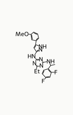 CCc1nc(Nc2cc(-c3cccc(OC)c3)[nH]n2)nc(NC(C)c2ccc(F)cc2F)n1